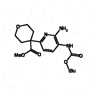 COC(=O)C1(c2ccc(NC(=O)OC(C)(C)C)c(N)n2)CCOCC1